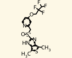 Cc1sc(C)c2[nH]c([S+]([O-])Cc3cc(OCC(F)(F)C(F)F)ccn3)nc12